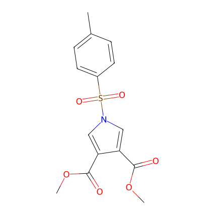 COC(=O)c1cn(S(=O)(=O)c2ccc(C)cc2)cc1C(=O)OC